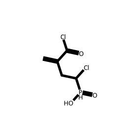 C=C(CC(Cl)[PH](=O)O)C(=O)Cl